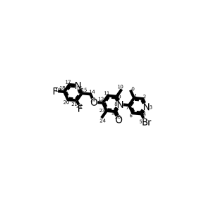 Cc1cnc(Br)cc1-n1c(C)cc(OCc2ncc(F)cc2F)c(C)c1=O